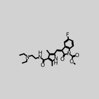 CCN(CC)CCNC(=O)c1c(C)[nH]c(/C=C2\C(=O)N(C(=O)OC)c3ccc(F)cc32)c1C